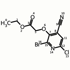 CCOC(=O)COc1c(C#N)cc(Cl)nc1Br